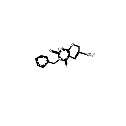 O=C(O)C1=Cc2c([nH]c(=O)n(Cc3ccccc3)c2=O)OC1